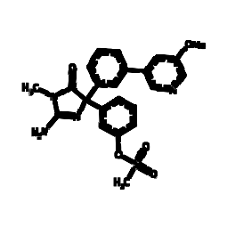 COc1cncc(-c2cccc(C3(c4cccc(OS(C)(=O)=O)c4)N=C(N)N(C)C3=O)c2)c1